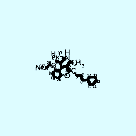 CC1=C(C(=O)OCC=Cc2ccccc2)C(c2ccccc2)C(C(=O)OCCC#N)=C(C)N1